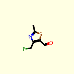 Cc1nc(CF)c(C=O)s1